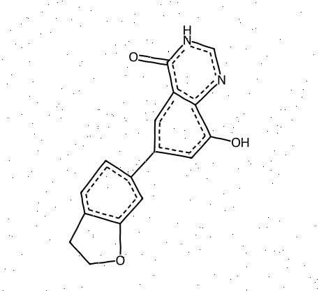 O=c1[nH]cnc2c(O)cc(-c3ccc4c(c3)OCC4)cc12